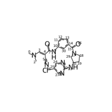 CN(C)C=C(C#N)C(=O)Nc1cccc(C(=O)N2CC[C@H](Nc3ncc(Cl)cn3)C2)c1